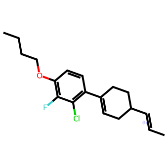 C/C=C/C1CC=C(c2ccc(OCCCC)c(F)c2Cl)CC1